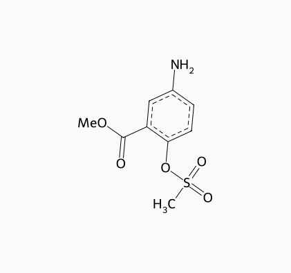 COC(=O)c1cc(N)ccc1OS(C)(=O)=O